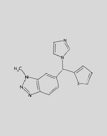 Cn1nnc2ccc(C(c3cccs3)n3ccnc3)cc21